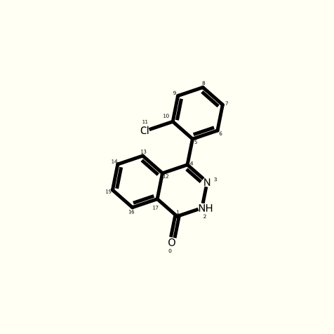 O=c1[nH]nc(-c2ccccc2Cl)c2ccccc12